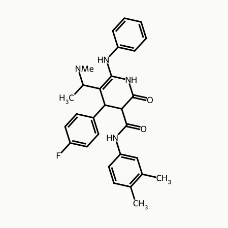 CNC(C)C1=C(Nc2ccccc2)NC(=O)C(C(=O)Nc2ccc(C)c(C)c2)C1c1ccc(F)cc1